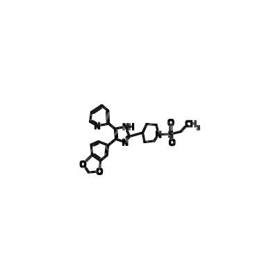 CCS(=O)(=O)N1CCC(c2nc(-c3ccc4c(c3)OCO4)c(-c3ccccn3)[nH]2)CC1